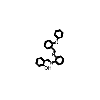 Oc1ccccc1/C=N/c1ccccc1/N=C/c1ccccc1Oc1ccccc1